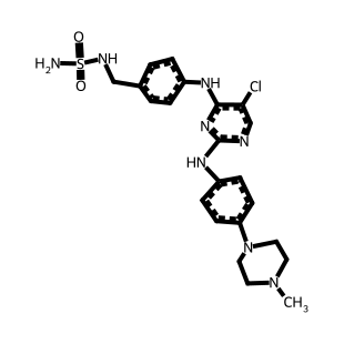 CN1CCN(c2ccc(Nc3ncc(Cl)c(Nc4ccc(CNS(N)(=O)=O)cc4)n3)cc2)CC1